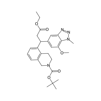 CCOC(=O)CC(c1cc(OC)c2c(c1)nnn2C)c1cccc2c1CCN(C(=O)OC(C)(C)C)C2